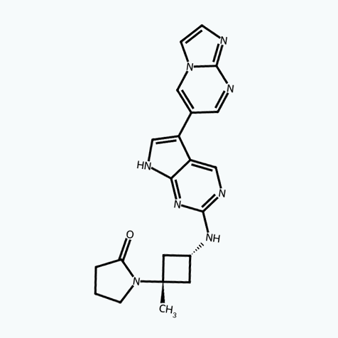 C[C@]1(N2CCCC2=O)C[C@@H](Nc2ncc3c(-c4cnc5nccn5c4)c[nH]c3n2)C1